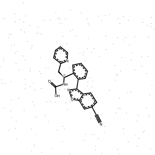 N#Cc1ccc2c(-c3ccccc3[C@H](Cc3ccccn3)NC(=O)O)noc2c1